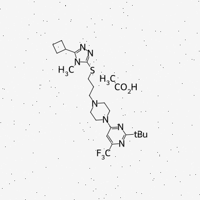 CC(=O)O.Cn1c(SCCCN2CCN(c3cc(C(F)(F)F)nc(C(C)(C)C)n3)CC2)nnc1C1CCC1